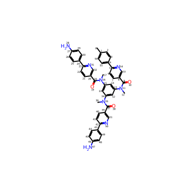 Cc1ccc(-c2ccc(C(=O)N(C)c3cc(N(C)C(=O)c4ccc(-c5ccc(N)cc5)nc4)cc(N(C)C(=O)c4ccc(-c5ccc(N)cc5)nc4)c3)cn2)cc1